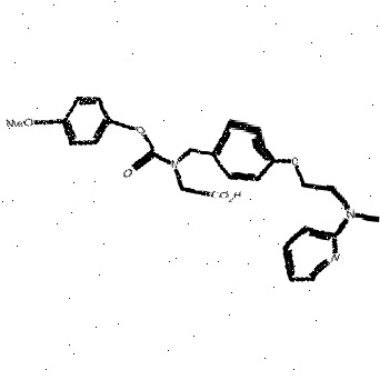 COc1ccc(OC(=O)N(CC(=O)O)Cc2ccc(OCCN(C)c3ccccn3)cc2)cc1